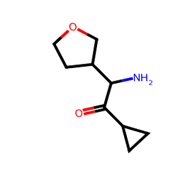 NC(C(=O)C1CC1)C1CCOC1